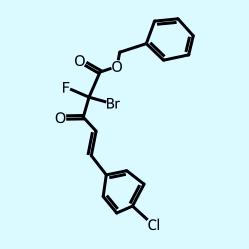 O=C(C=Cc1ccc(Cl)cc1)C(F)(Br)C(=O)OCc1ccccc1